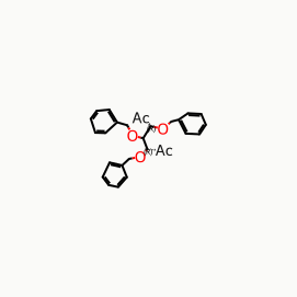 CC(=O)[C@H](OCc1ccccc1)C(OCc1ccccc1)[C@@H](OCc1ccccc1)C(C)=O